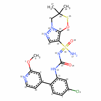 COc1cc(-c2ccc(Cl)cc2NC(=O)N=S(N)(=O)c2cnn3c2OSC(C)(C)C3)ccn1